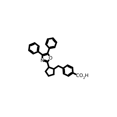 O=C(O)c1ccc(CC2CCCC2c2nc(-c3ccccc3)c(-c3ccccc3)o2)cc1